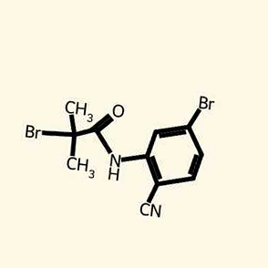 CC(C)(Br)C(=O)Nc1cc(Br)ccc1C#N